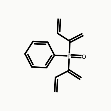 C=CC(=C)P(=O)(C(=C)C=C)c1ccccc1